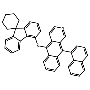 c1ccc2c(c1)-c1c(Sc3c4ccccc4c(-c4cccc5ccccc45)c4cnccc34)cccc1C21CCCCC1